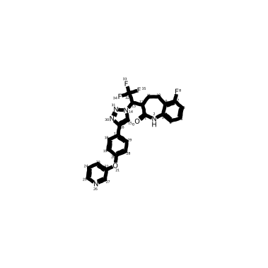 O=C1Nc2cccc(F)c2CCC1C(n1cc(-c2ccc(Oc3cccnc3)cc2)nn1)C(F)(F)F